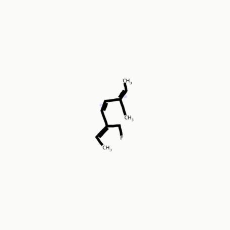 CC=C(/C=C\C(C)=C/C)CF